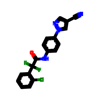 N#Cc1cnn(-c2ccc(NC(=O)C(F)(F)c3ccccc3Cl)cc2)c1